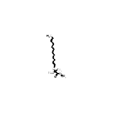 CC=CCCCCCCCC=COC(C)(C)C(=O)OC